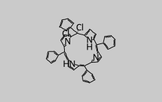 Cl[C@]1(c2ccccc2)c2ccc([nH]2)C(c2ccccc2)=C2C=CC(=N2)C(c2ccccc2)=c2ccc([nH]2)=C(c2ccccc2)C2=N[C@]1(Cl)C=C2